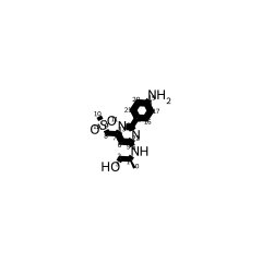 C[C@@H](CO)Nc1cc(CS(C)(=O)=O)nc(-c2ccc(N)cc2)n1